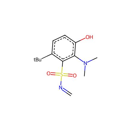 C=NS(=O)(=O)c1c(C(C)(C)C)ccc(O)c1N(C)C